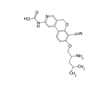 CC(C)CC(N)COc1ccc2c(c1C#N)OCc1cnc(NC(=O)O)cc1-2